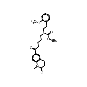 CN1C(=O)CCc2cc(C(=O)CCCCN(CCc3ccccc3OC(F)(F)F)C(=O)OC(C)(C)C)ccc21